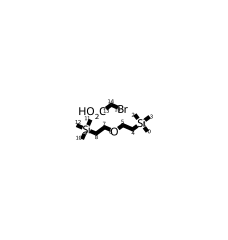 C[Si](C)(C)CCOCC[Si](C)(C)C.O=C(O)CBr